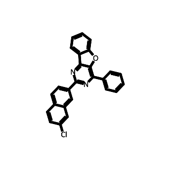 Clc1ccc2ccc(-c3nc(-c4ccccc4)c4oc5ccccc5c4n3)cc2c1